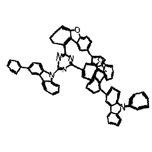 c1ccc(-c2ccc3c(c2)c2ccccc2n3-c2nc(-c3ccc4c(c3)oc3ccccc34)nc(-c3cccc4oc5ccc(-c6ccc7sc8c(-c9ccc%10c(c9)c9ccccc9n%10-c9ccccc9)cccc8c7c6)cc5c34)n2)cc1